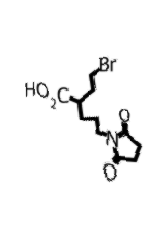 O=C(O)C(CCBr)CCCN1C(=O)CCC1=O